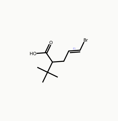 CC(C)(C)C(C/C=C/Br)C(=O)O